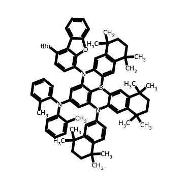 Cc1ccccc1N(c1cc2c3c(c1)N(c1ccc(C(C)(C)C)c4c1oc1ccccc14)c1cc4c(cc1B3c1cc3c(cc1N2c1ccc2c(c1)C(C)(C)CCC2(C)C)C(C)(C)CCC3(C)C)C(C)(C)CCC4(C)C)c1ccccc1C